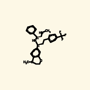 CNC[C@H](N[C@@H](CCc1ccc(C(F)(F)F)cc1)c1ccc2c(c1)OCCN2C)c1ccccc1